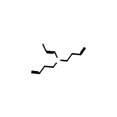 C=CCC[SiH](C=CC)CCC=C